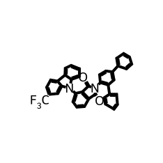 O=C1c2cccc(-n3c4ccccc4c4ccc(C(F)(F)F)cc43)c2C(=O)N1c1ccc(-c2ccccc2)cc1-c1ccccc1